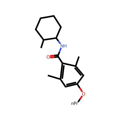 CCCOc1cc(C)c(C(=O)NC2CCCCC2C)c(C)c1